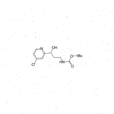 CC(C)(C)OC(=O)NCCC(O)c1cc(Cl)ccn1